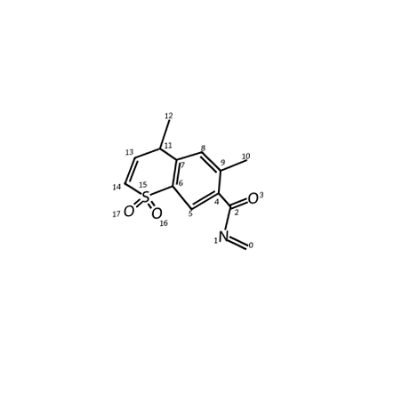 C=NC(=O)c1cc2c(cc1C)C(C)C=CS2(=O)=O